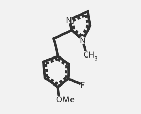 COc1ccc(Cc2nccn2C)cc1F